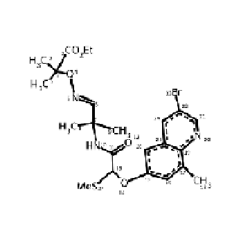 CCOC(=O)C(C)(C)O/N=C/C(C)(C)NC(=O)C(Oc1cc(C)c2ncc(Br)cc2c1)SC